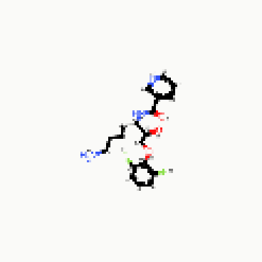 NCCCC[C@H](NC(=O)c1cccnc1)C(=O)COc1c(F)cccc1F